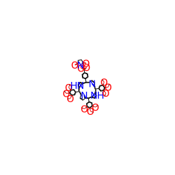 COc1cc(-c2c3nc(c(-c4cc(OC)c(OC)c(OC)c4)c4ccc([nH]4)c(-c4cc(OC)c(OC)c(OC)c4)c4nc(c(-c5ccc(C(=O)ON6C(=O)CCC6=O)cc5)c5ccc2[nH]5)C=C4)C=C3)cc(OC)c1OC